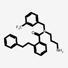 NCCCN(Cc1cccc(C(F)(F)F)c1)C(=O)c1ccccc1CCc1ccccc1